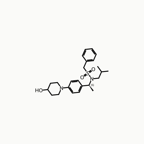 CC(C)CN([C@@H](C)c1ccc(N2CCC(O)CC2)cc1)S(=O)(=O)Cc1ccccc1